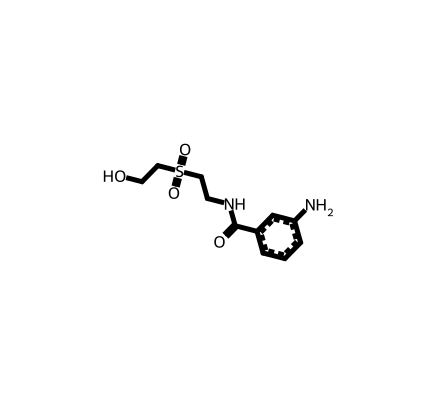 Nc1cccc(C(=O)NCCS(=O)(=O)CCO)c1